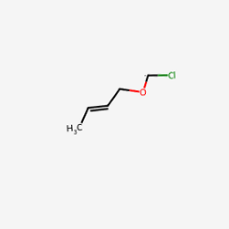 CC=CCO[CH]Cl